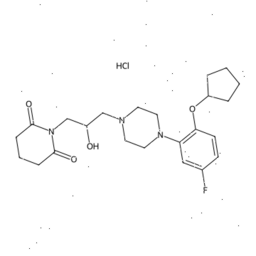 Cl.O=C1CCCC(=O)N1CC(O)CN1CCN(c2cc(F)ccc2OC2CCCC2)CC1